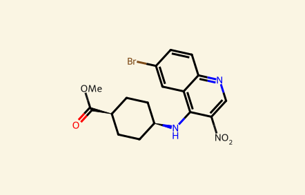 COC(=O)[C@H]1CC[C@@H](Nc2c([N+](=O)[O-])cnc3ccc(Br)cc23)CC1